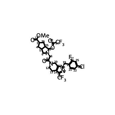 COC(=O)C1CC2CN(CC(=O)N3CCc4c(C(F)(F)F)nn(Cc5ccc(Cl)cc5F)c4C3)C(OC(=O)C(F)(F)F)C2C1